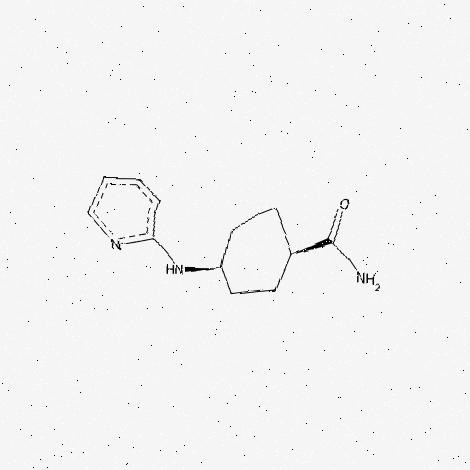 NC(=O)[C@H]1CC[C@@H](Nc2ccccn2)CC1